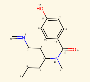 C=NCCC(CCC)N(C)C(=O)c1ccc(O)cc1